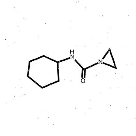 O=C(NC1CCCCC1)N1CC1